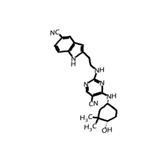 CC1(C)C[C@H](Nc2nc(NCCc3cc4cc(C#N)ccc4[nH]3)ncc2C#N)CC[C@@H]1O